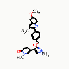 COc1ccc2nc(-c3ccc(COc4nn(C)cc4-c4ccc(=O)n(C)c4)cc3)c(C)cc2c1